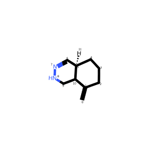 C=C1CCC[C@@H]2C=NNCC12